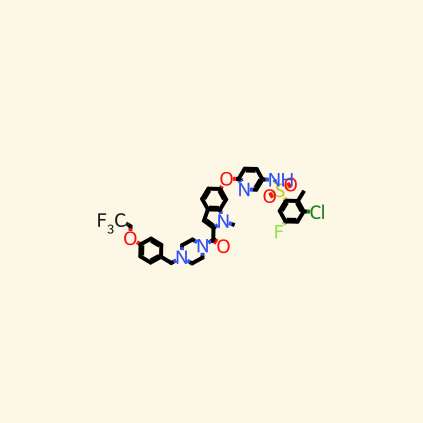 Cc1c(Cl)cc(F)cc1S(=O)(=O)Nc1ccc(Oc2ccc3cc(C(=O)N4CCN(Cc5ccc(OCC(F)(F)F)cc5)CC4)n(C)c3c2)nc1